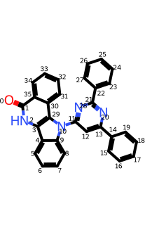 O=c1[nH]c2c3ccccc3n(-c3cc(-c4ccccc4)nc(-c4ccccc4)n3)c2c2ccccc12